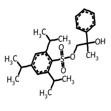 CC(C)c1cc(C(C)C)c(S(=O)(=O)OCC(C)(O)c2ccccc2)c(C(C)C)c1